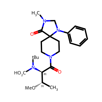 CO[C@@H](C)[C@H](C(=O)N1CCC2(CC1)C(=O)N(C)CN2c1ccccc1)N(C(=O)O)C(C)(C)C